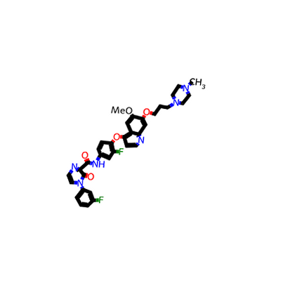 COc1cc2c(Oc3ccc(NC(=O)c4nccn(-c5cccc(F)c5)c4=O)cc3F)ccnc2cc1OCCCN1CCN(C)CC1